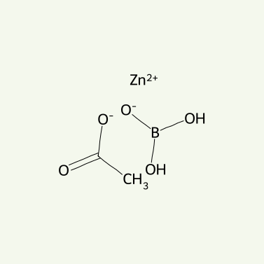 CC(=O)[O-].[O-]B(O)O.[Zn+2]